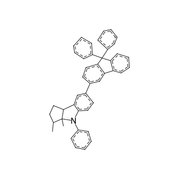 CC1CCC2c3cc(-c4ccc5c(c4)-c4ccccc4C5(c4ccccc4)c4ccccc4)ccc3N(c3ccccc3)C12C